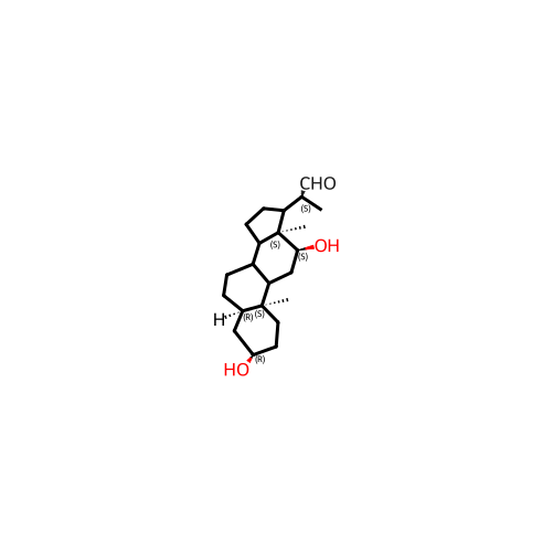 C[C@H](C=O)C1CCC2C3CC[C@@H]4C[C@H](O)CC[C@]4(C)C3C[C@H](O)[C@@]21C